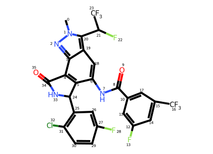 Cn1nc2c3c(c(NC(=O)c4cc(F)cc(C(F)(F)F)c4)cc2c1C(F)C(F)(F)F)C(c1cc(F)ccc1Cl)NC3=O